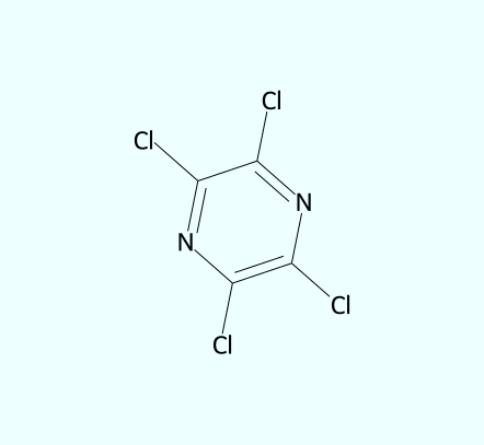 Clc1nc(Cl)c(Cl)nc1Cl